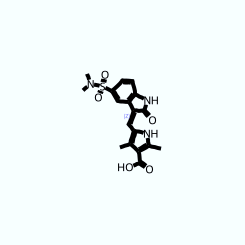 Cc1[nH]c(/C=C2\C(=O)Nc3ccc(S(=O)(=O)N(C)C)cc32)c(C)c1C(=O)O